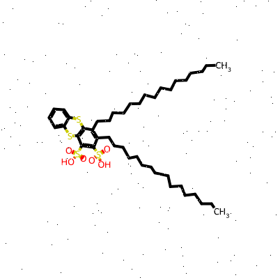 CCCCCCCCCCCCCCCCc1c(CCCCCCCCCCCCCCCC)c(S(=O)(=O)O)c(S(=O)(=O)O)c2c1Sc1ccccc1S2